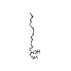 CCCCCCCCCCCCSC(O)CS